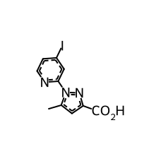 Cc1cc(C(=O)O)nn1-c1cc(I)ccn1